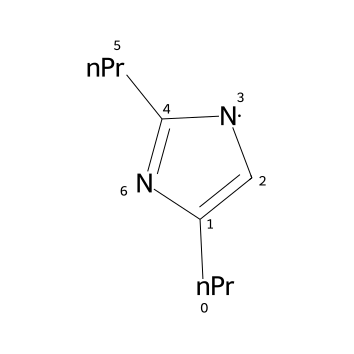 CCCC1=C[N]C(CCC)=N1